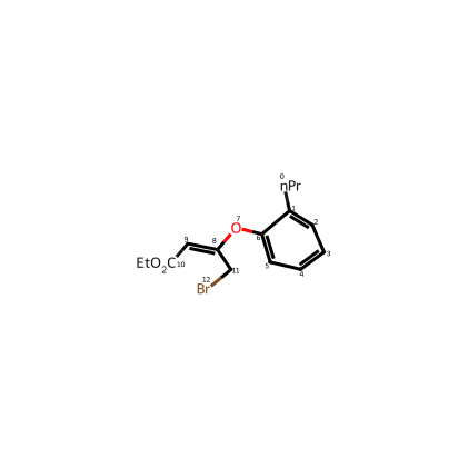 CCCc1ccccc1OC(=CC(=O)OCC)CBr